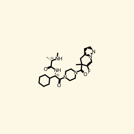 CN[C@@H](C)C(=O)N[C@H](C(=O)N1CCN(C(=O)C2(C)Cc3ccnn3C=C2F)CC1)C1CCCCC1